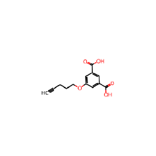 C#CCCCOc1cc(C(=O)O)cc(C(=O)O)c1